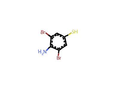 Nc1c(Br)cc(S)cc1Br